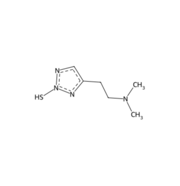 CN(C)CCc1cnn(S)n1